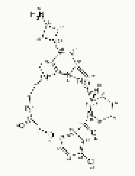 CN1CCNC(=O)COc2ccc(Cl)cc2C(=O)N2CCCC[C@H]2c2cc3nc(N4CC(N)C4)cc1n3n2